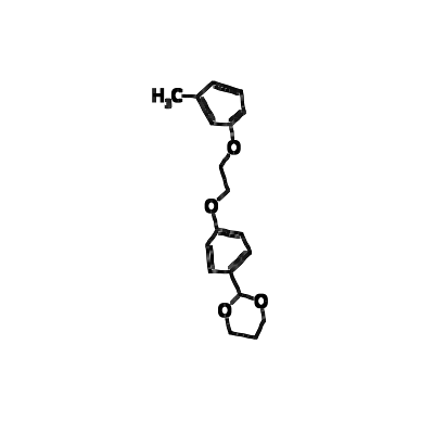 Cc1cccc(OCCOc2ccc(C3OCCCO3)cc2)c1